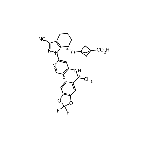 C[C@H](Nc1cc(-n2nc(C#N)c3c2[C@@H](OC24CC(C(=O)O)(C2)C4)CCC3)ncc1F)c1ccc2c(c1)OC(F)(F)O2